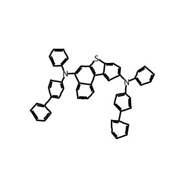 c1ccc(-c2ccc(N(c3ccccc3)c3ccc4sc5cc(N(c6ccccc6)c6ccc(-c7ccccc7)cc6)c6ccccc6c5c4c3)cc2)cc1